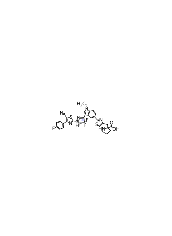 CCn1cc(/C(=N/Nc2nc(-c3ccc(F)cc3)c(C#N)s2)C(F)(F)F)c2cc(-c3nc(C[C@@]4(C(=O)O)CCCN4)cs3)ccc21